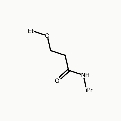 CCOCCC(=O)NC(C)C